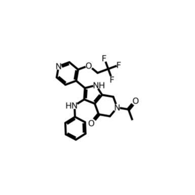 CC(=O)N1CC(=O)c2c([nH]c(-c3ccncc3OCC(F)(F)F)c2Nc2ccccc2)C1